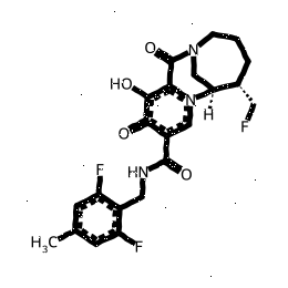 Cc1cc(F)c(CNC(=O)c2cn3c(c(O)c2=O)C(=O)N2CCC[C@H](CF)[C@@H]3C2)c(F)c1